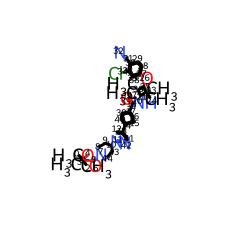 CC(C)(C)OC(=O)N1CCC(n2cc(-c3ccc(C(=O)N[C@H]4C(C)(C)[C@H](Oc5ccc(C#N)c(Cl)c5)C4(C)C)cc3)cn2)CC1